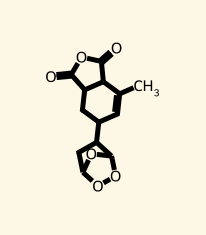 CC1=CC(C2CC3OOC2O3)CC2C(=O)OC(=O)C12